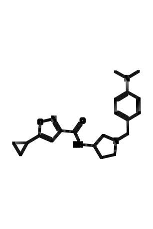 CN(C)c1ccc(CN2CCC(NC(=O)c3cc(C4CC4)on3)C2)cc1